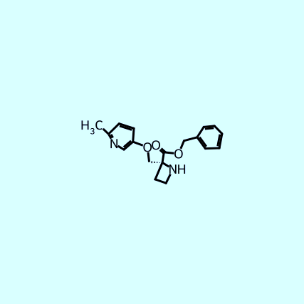 Cc1ccc(OC[C@@]2(C(=O)OCc3ccccc3)CCN2)cn1